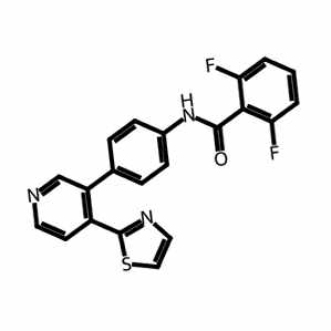 O=C(Nc1ccc(-c2cnccc2-c2nccs2)cc1)c1c(F)cccc1F